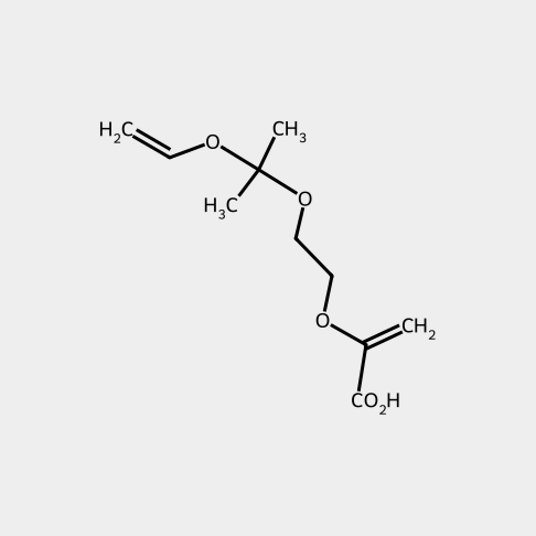 C=COC(C)(C)OCCOC(=C)C(=O)O